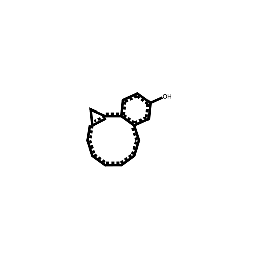 Oc1ccc2c3c(ccccccc2c1)C3